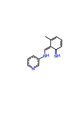 CC1=CC=CC(=N)/C1=C\Nc1cccnc1